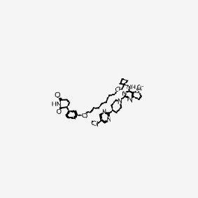 O=C1CCC(c2cccc(OCCCCCCCCOCC3(Nc4nc(N5CCC(c6ncc(Cl)cn6)CC5)nc5c4[S@+]([O-])CC5)CCC3)c2)C(=O)N1